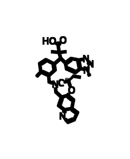 CC[C@@H]1CN(Cc2cc(C(c3ccc4c(c3)nnn4C)C(C)(C)C(=O)O)ccc2C)Cc2cc3ncccc3cc2O1